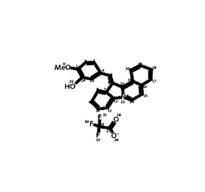 COc1ccc(/C=C2\c3ccccc3-[n+]3ccc4ccccc4c32)cc1O.O=C([O-])C(F)(F)F